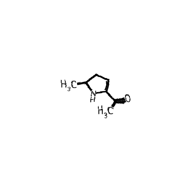 CC(=O)C1=CCC(C)N1